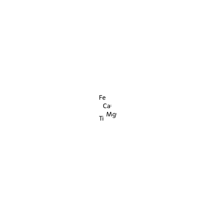 [Ca].[Fe].[Mg].[Ti]